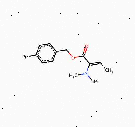 C/C=C(/C(=O)OCc1ccc(C(C)C)cc1)N(C)CCC